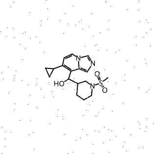 CS(=O)(=O)N1CCCC(C(O)c2c(C3CC3)ccn3cncc23)C1